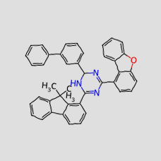 CC1(C)c2ccccc2-c2cccc(C3=NC(c4cccc5oc6ccccc6c45)=NC(c4cccc(-c5ccccc5)c4)N3)c21